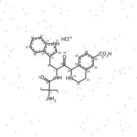 CC(C)(N)C(=O)NC(Cc1c[nH]c2ccccc12)C(=O)C1NCCc2cc(C(=O)O)ccc21.Cl